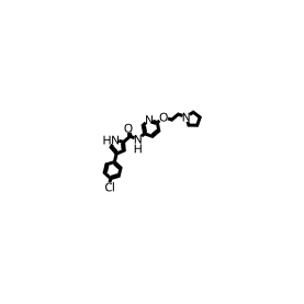 O=C(Nc1ccc(OCCN2CCCC2)nc1)c1cc(-c2ccc(Cl)cc2)c[nH]1